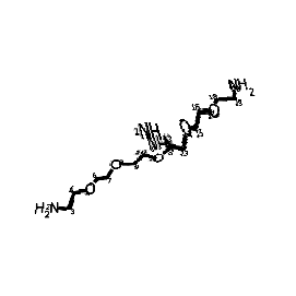 N.N.NCCOCCOCCOCCOCCOCCN